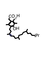 C/C(=C/CCC(C)CCCC(C)CCCC(C)C)CCc1c(C)c(CC(=O)O)c(C)c(C)c1O